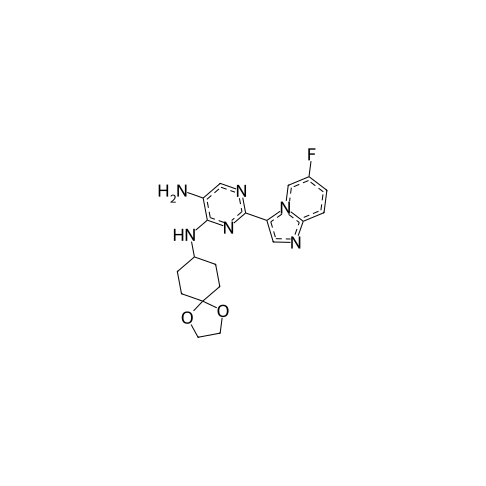 Nc1cnc(-c2cnc3ccc(F)cn23)nc1NC1CCC2(CC1)OCCO2